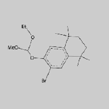 CCOC(OC)Oc1cc2c(cc1Br)C(C)(C)CCC2(C)C